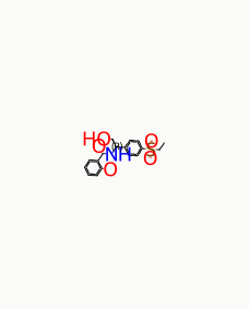 CCS(=O)(=O)c1ccc([C@H](CO)NC(=O)c2ccccc2OC)cc1